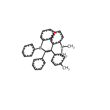 Cc1ccc(/C(=C(/B(c2ccccc2)c2ccccc2)c2ccccc2)c2ccccc2N(C)C)cc1